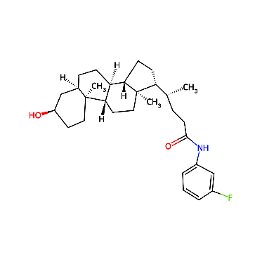 C[C@H](CCC(=O)Nc1cccc(F)c1)[C@H]1CC[C@H]2[C@@H]3CC[C@@H]4C[C@H](O)CC[C@]4(C)[C@H]3CC[C@]12C